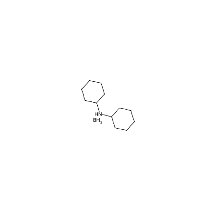 B.C1CCC(NC2CCCCC2)CC1